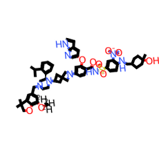 [2H]C([2H])([2H])Oc1cc(CN2CCN(C3CC4(C3)CN(c3ccc(C(=O)NS(=O)(=O)c5ccc(NCC6CCC(C)(O)CC6)c([N+](=O)[O-])c5)c(Oc5cnc6[nH]ccc6c5)c3)C4)[C@H](c3ccccc3C(C)C)C2)cc2c1OCC2(C)C